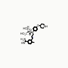 Cc1ccc(C(=N)N)cc1/C=C/CN(c1ccc(OC2CCNCC2)cc1)S(=O)(=O)CC(=O)O.Cl.Cl